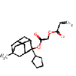 C=CC(=O)OCC(=O)OC1(C2CCCC2)C2CC3CC1CC(C)(C3)C2